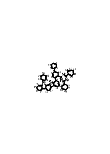 c1ccc(-c2ccc(-c3cccc4c3sc3c4ccc4c5ccccc5n(-c5ccccc5)c43)c(-c3nc(-c4ccccc4)nc(-c4ccccc4)n3)c2)cc1